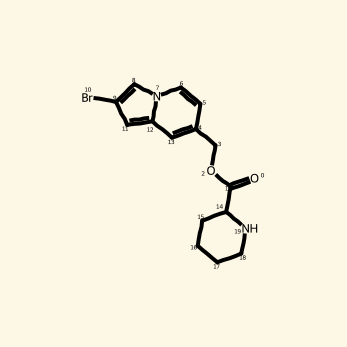 O=C(OCc1ccn2cc(Br)cc2c1)C1CCCCN1